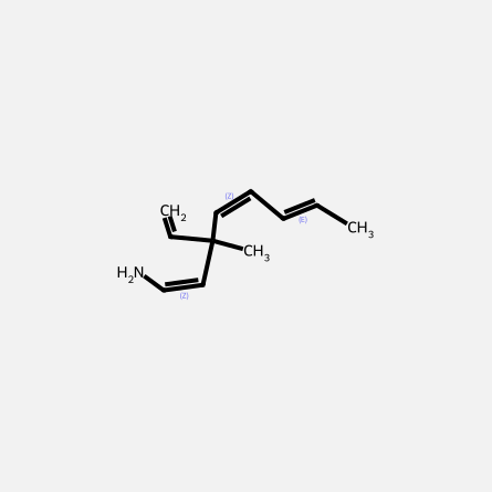 C=CC(C)(/C=C\N)/C=C\C=C\C